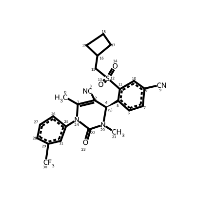 CC1=C(C#N)[C@@H](c2ccc(C#N)cc2S(=O)(=O)CC2CCC2)N(C)C(=O)N1c1cccc(C(F)(F)F)c1